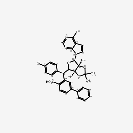 CC1(C)O[C@@H]2[C@@H]([C@H](c3ccc(Cl)cc3)c3cc(-c4ccccc4)ccc3C(=O)O)O[C@@H](n3ccc4c(I)ncnc43)[C@@H]2O1